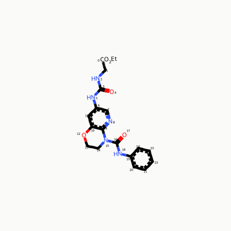 CCOC(=O)CNC(=O)Nc1cnc2c(c1)OCCN2C(=O)Nc1ccccc1